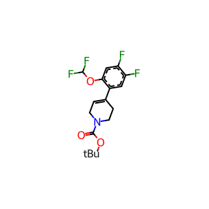 CC(C)(C)OC(=O)N1CC=C(c2cc(F)c(F)cc2OC(F)F)CC1